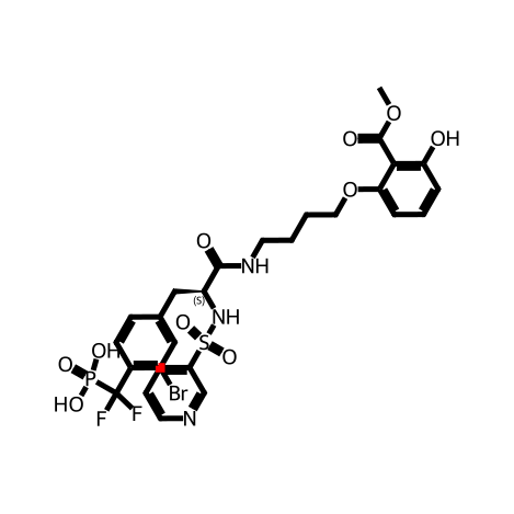 COC(=O)c1c(O)cccc1OCCCCNC(=O)[C@H](Cc1ccc(C(F)(F)P(=O)(O)O)c(Br)c1)NS(=O)(=O)c1cccnc1